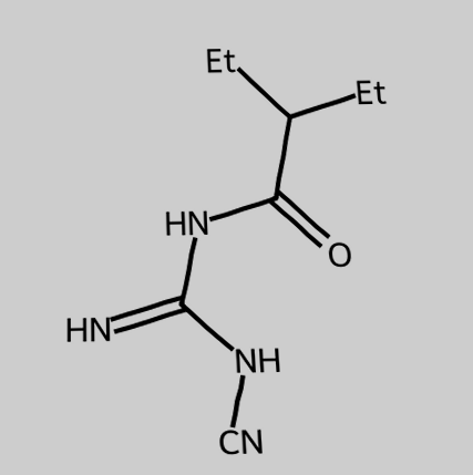 CCC(CC)C(=O)NC(=N)NC#N